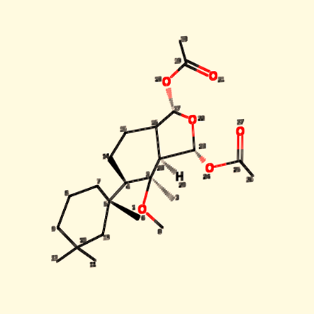 CO[C@@]1(C)[C@@H]([C@@]2(C)CCCC(C)(C)C2)CCC2[C@H](OC(C)=O)O[C@H](OC(C)=O)[C@H]21